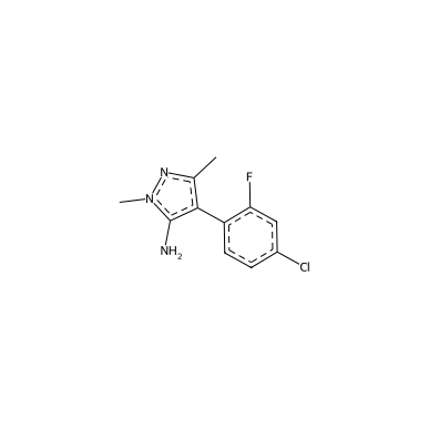 Cc1nn(C)c(N)c1-c1ccc(Cl)cc1F